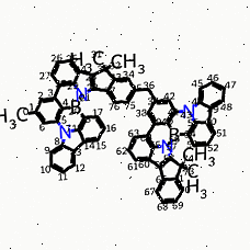 Cc1cc2c3c(c1)-n1c4ccccc4c4cccc(c41)B3n1c3c(c4cccc-2c41)C(C)(C)c1cc(Cc2cc4c5c(c2)-n2c6ccccc6c6cccc(c62)B5n2c5c(c6cccc-4c62)-c2ccccc2C5(C)C)ccc1-3